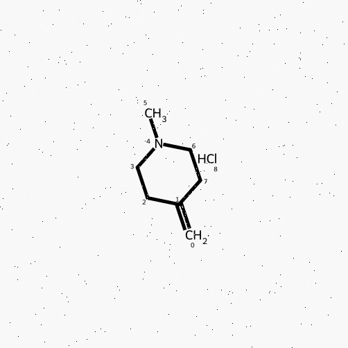 C=C1CCN(C)CC1.Cl